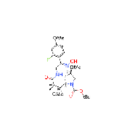 COc1ccc(C(CNC(=O)[C@H](C)[C@@H](OC)[C@@H]2C[C@@H](OC)CN2C(=O)OC(C)(C)C)=NO)c(F)c1